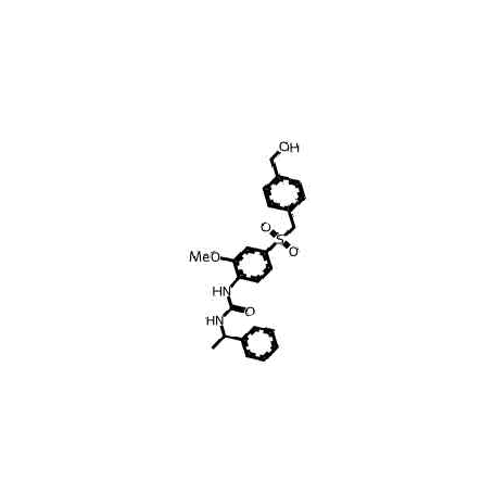 COc1cc(S(=O)(=O)Cc2ccc(CO)cc2)ccc1NC(=O)NC(C)c1ccccc1